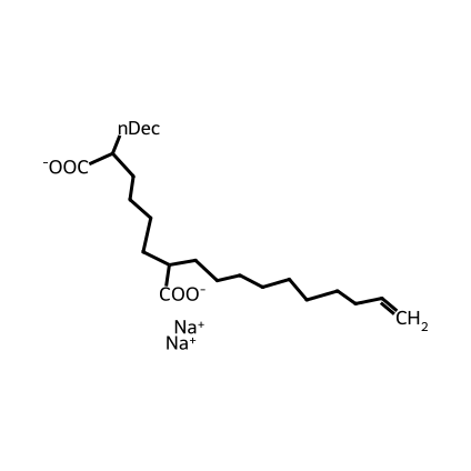 C=CCCCCCCCCC(CCCCC(CCCCCCCCCC)C(=O)[O-])C(=O)[O-].[Na+].[Na+]